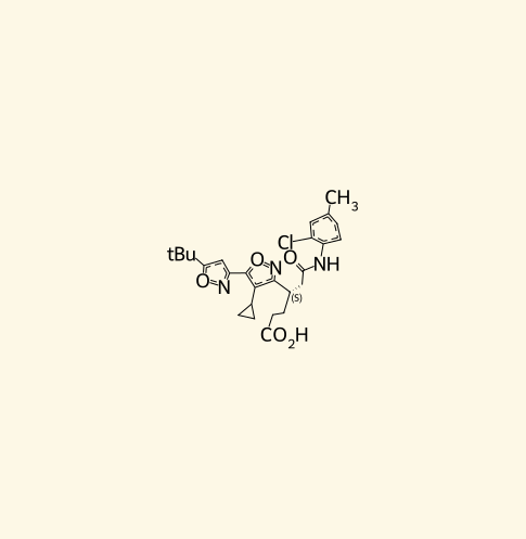 Cc1ccc(NC(=O)C[C@H](CCC(=O)O)c2noc(-c3cc(C(C)(C)C)on3)c2C2CC2)c(Cl)c1